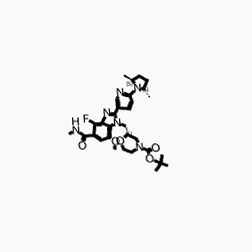 CNC(=O)c1cc(OC)c2c(nc(-c3ccc(N4[C@@H](C)CC[C@@H]4C)nc3)n2C[C@@H]2CN(C(=O)OC(C)(C)C)CCO2)c1F